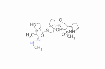 C=C(/C=C\C=C/C)[C@@H]1CNCCN1C(=O)N1CCC(O)(Cn2cc(S(C)(=N)=O)c(-c3ccccc3)cc2=O)C2(CCCC2)C1